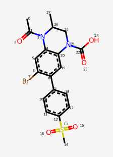 CC(=O)N1c2cc(Br)c(-c3ccc(S(C)(=O)=O)cc3)cc2N(C(=O)O)CC1C